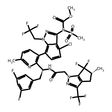 COC(=O)N(c1nn(CC(F)(F)F)c2c(-c3ccc(C)nc3[C@H](Cc3cc(F)cc(F)c3)NC(=O)Cn3nc(C(F)(F)F)c4c3C(F)(F)[C@H](C)C4)ccc(Cl)c12)S(C)(=O)=O